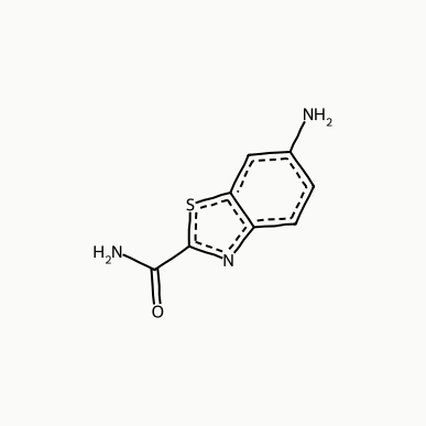 NC(=O)c1nc2ccc(N)cc2s1